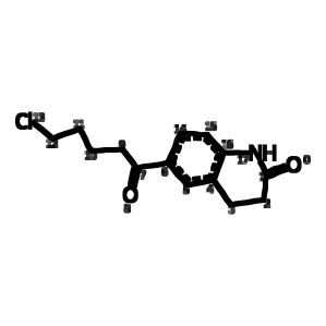 O=C1CCc2cc(C(=O)CCCCCl)ccc2N1